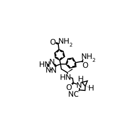 C[C@H](CC(c1ccc(C(N)=O)cc1)(c1ccc(C(N)=O)cc1)c1nn[nH]n1)NCC(=O)N1C(C#N)C[C@@H]2C[C@@H]21